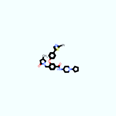 CC1CC(=O)N(Cc2ccc(C(=O)NC3CCN(C4CCCC4)CC3)cc2Oc2ccc(-c3cnc(C(C)C)s3)cc2)C1